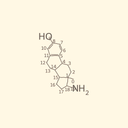 CC12CCC3c4ccc(O)cc4CCC3C1CCC2N